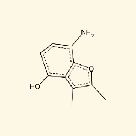 Cc1oc2c(N)ccc(O)c2c1C